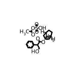 CC(=O)OS(=O)(=O)O.CN1[C@@H]2CC[C@H]1C[C@@H](OC(=O)C(CO)c1ccccc1)C2